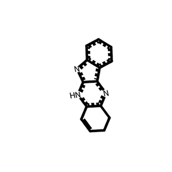 C1=Cc2[nH]c3nc4ccccc4c-3nc2CC1